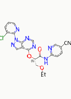 CCOC[C@H](Oc1ncnc2c1cnn2-c1ncccc1Cl)C(=O)Nc1ccc(C#N)cn1